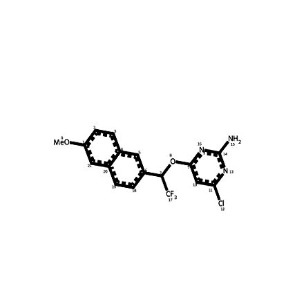 COc1ccc2cc(C(Oc3cc(Cl)nc(N)n3)C(F)(F)F)ccc2c1